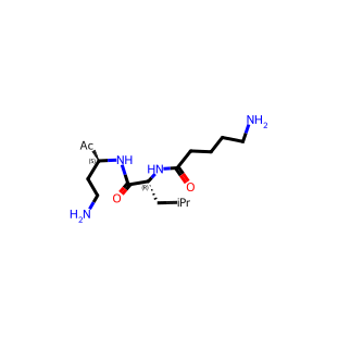 CC(=O)[C@H](CCN)NC(=O)[C@@H](CC(C)C)NC(=O)CCCCN